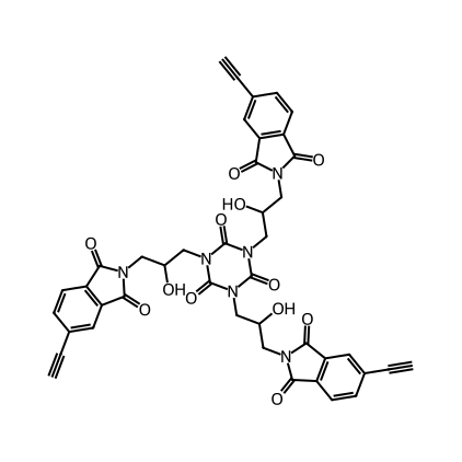 C#Cc1ccc2c(c1)C(=O)N(CC(O)Cn1c(=O)n(CC(O)CN3C(=O)c4ccc(C#C)cc4C3=O)c(=O)n(CC(O)CN3C(=O)c4ccc(C#C)cc4C3=O)c1=O)C2=O